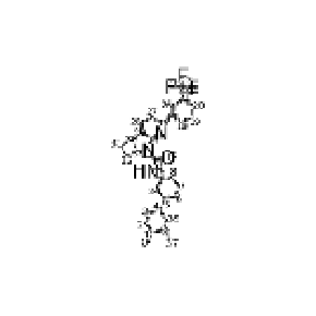 Cc1ccc(-c2cccc(NC(=O)N3c4nc(-c5cccc(C(F)(F)F)c5)ccc4C4CCC43)c2)cc1C